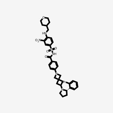 CC(C)c1ccccc1[C@@H]1CCCN1C1CC2(C1)CN(c1ccc(C(=O)NS(=O)(=O)c3ccc(NCC4CCOCC4)c([N+](=O)[O-])c3)cc1)C2